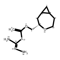 C=C(OC[C@@H]1CC2CC2CCO1)S/C(N)=N\N